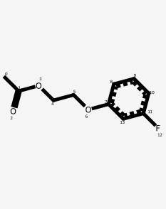 CC(=O)OCCOc1cccc(F)c1